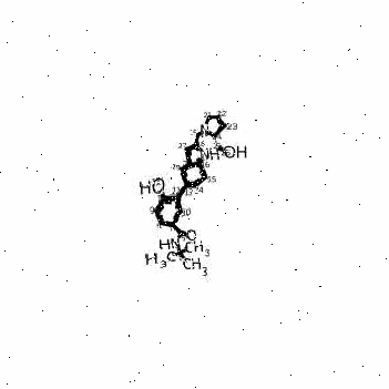 CC(C)(C)NC(=O)c1ccc(O)c(-c2ccc3[nH]c(CN4CCC[C@@H]4CO)cc3c2)c1